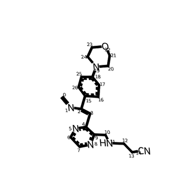 C=N/C(=C\c1nccnc1CNCCC#N)c1ccc(N2CCOCC2)cc1